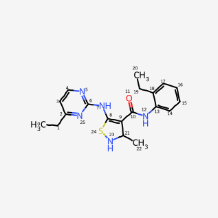 CCc1ccnc(NC2=C(C(=O)Nc3ccccc3CC)C(C)NS2)n1